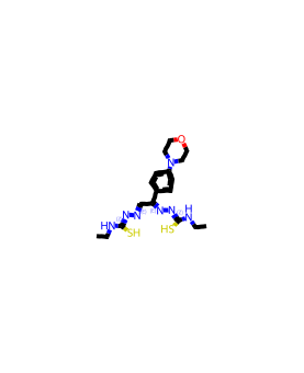 CCN/C(S)=N/N=C/C(=N/N=C(\S)NCC)c1ccc(N2CCOCC2)cc1